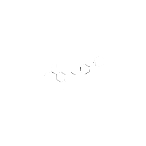 CCC1=C/C(=C(/S)C#N)C=C(C=Cc2ccc(N3CCCCC3)cc2)O1